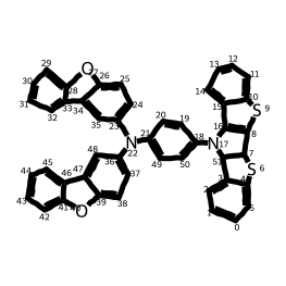 c1ccc2c(c1)SC1c3sc4ccccc4c3N(c3ccc(N(c4ccc5oc6ccccc6c5c4)c4ccc5oc6ccccc6c5c4)cc3)C21